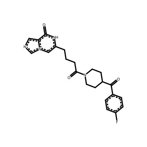 O=C(c1ccc(F)cc1)C1CCN(C(=O)CCCc2cn3cncc3c(=O)[nH]2)CC1